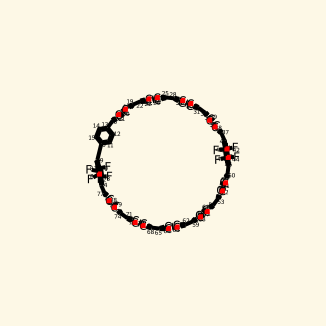 Fc1c(F)c2c(F)c(F)c1-c1ccc(cc1)-c1ccc(cc1)-c1ccc(cc1)-c1ccc(cc1)-c1ccc(cc1)-c1c(F)c(F)c(c(F)c1F)-c1ccc(cc1)-c1ccc(cc1)-c1ccc(cc1)-c1ccc(cc1)-c1ccc-2cc1